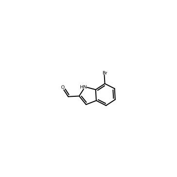 O=Cc1cc2cccc(Br)c2[nH]1